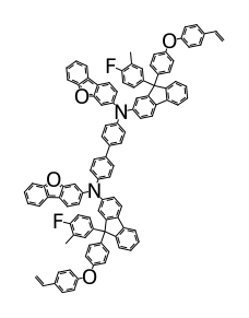 C=Cc1ccc(Oc2ccc(C3(c4ccc(F)c(C)c4)c4ccccc4-c4ccc(N(c5ccc(-c6ccc(N(c7ccc8c(c7)C(c7ccc(Oc9ccc(C=C)cc9)cc7)(c7ccc(F)c(C)c7)c7ccccc7-8)c7ccc8c(c7)oc7ccccc78)cc6)cc5)c5ccc6c(c5)oc5ccccc56)cc43)cc2)cc1